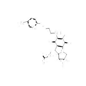 CO[C@@]12[C@H](COC(N)=O)C3=C(C(=O)C(C)=C(NCCSSc4ccc([N+](=O)[O-])cn4)C3=O)N1C[C@@H]1N[C@@H]12